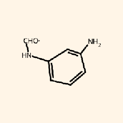 Nc1cccc(N[C]=O)c1